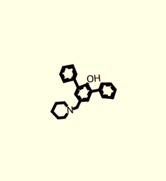 Oc1c(-c2ccccc2)cc(CN2CCCCC2)cc1-c1ccccc1